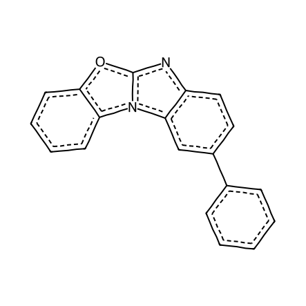 c1ccc(-c2ccc3nc4oc5ccccc5n4c3c2)cc1